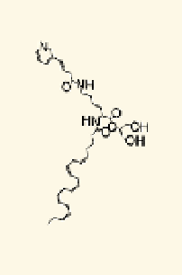 CC/C=C\C/C=C\C/C=C\C/C=C\C/C=C\CCCC(=O)NC(CCCCNC(=O)C/C=C/c1cccnc1)C(=O)OC(CO)CO